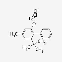 Cc1cc([O][Ti+2])c(-c2ccccc2)c(C(C)(C)C)c1.[Cl-].[Cl-]